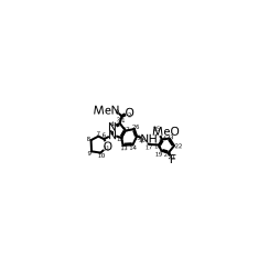 CNC(=O)c1nn(C2CCCCO2)c2ccc(NCc3cc(F)ccc3OC)cc12